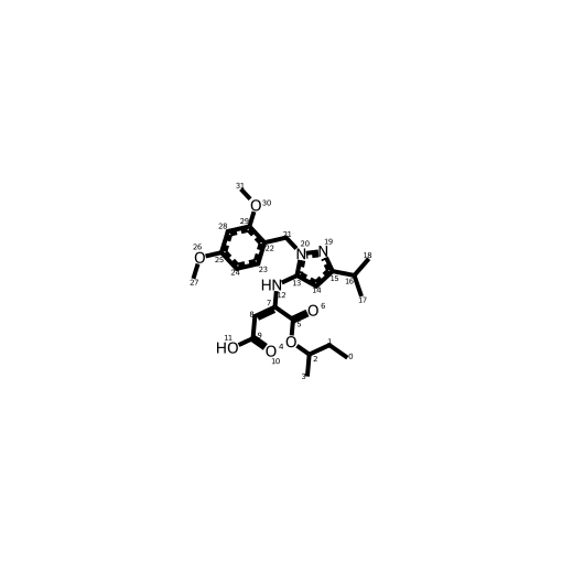 CCC(C)OC(=O)C(=CC(=O)O)Nc1cc(C(C)C)nn1Cc1ccc(OC)cc1OC